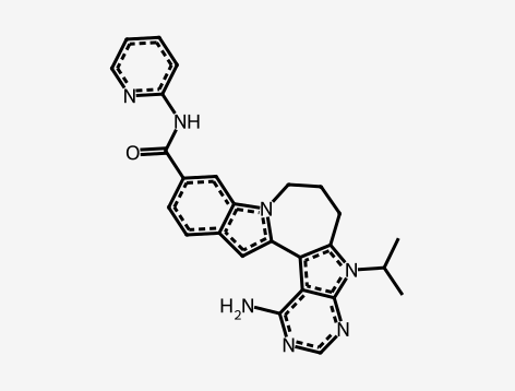 CC(C)n1c2c(c3c(N)ncnc31)-c1cc3ccc(C(=O)Nc4ccccn4)cc3n1CCC2